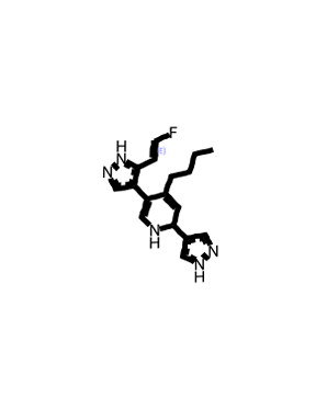 CCCCC1=CC(c2cn[nH]c2)NC=C1c1cn[nH]c1/C=C/F